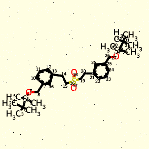 CC(C)(C)[Si](C)(C)OCc1cccc(CCS(=O)(=O)CCc2cccc(CO[Si](C)(C)C(C)(C)C)c2)c1